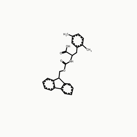 Cc1ccc(C)c(CC(NC(=O)OCC2c3ccccc3-c3ccccc32)C(=O)O)c1